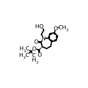 COc1ccc2c(c1)N(CCO)C(=O)[C@H](C(=O)OC(C)(C)C)CC2